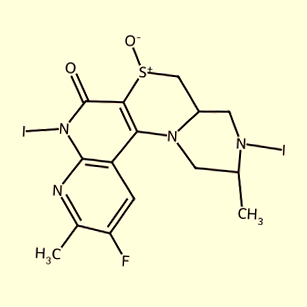 Cc1nc2c(cc1F)c1c(c(=O)n2I)[S+]([O-])CC2CN(I)C(C)CN12